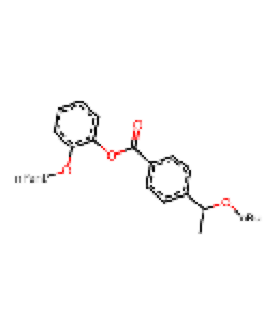 CCCCCOc1ccccc1OC(=O)c1ccc(C(C)OCCCC)cc1